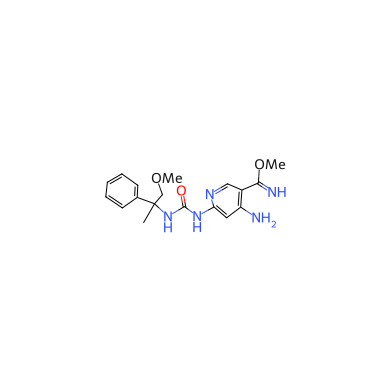 COCC(C)(NC(=O)Nc1cc(N)c(C(=N)OC)cn1)c1ccccc1